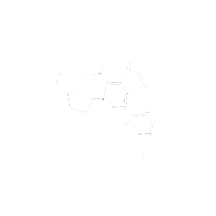 COc1ccc(-c2cc(N3CC[C@H](CO)C3)c(C(=O)O)c3[nH]cnc23)cc1